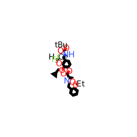 CCOc1ccccc1Cc1nc(C(=O)Oc2ccc([C@H](C)NC(=O)OC(C)(C)C)c(OC(F)F)c2OCC2CC2)co1